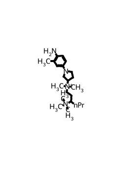 CCCC(CC[N+](C)(C)C1CCN(c2ccc(N)c(C)c2)C1)[N+](C)(C)C